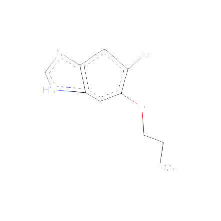 COCCOc1cc2[nH]cnc2cc1Br